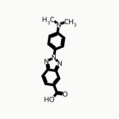 CN(C)c1ccc(-n2nc3ccc(C(=O)O)cc3n2)cc1